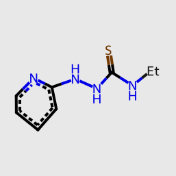 CCNC(=S)NNc1ccccn1